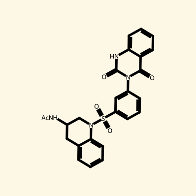 CC(=O)NC1Cc2ccccc2N(S(=O)(=O)c2cccc(-n3c(=O)[nH]c4ccccc4c3=O)c2)C1